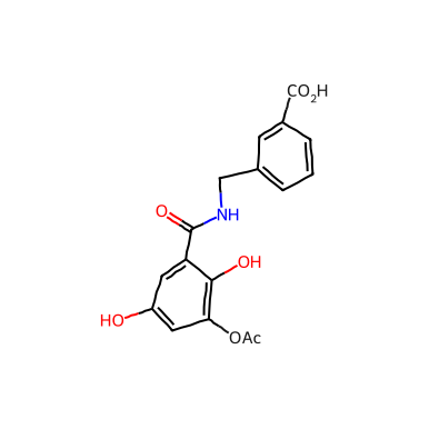 CC(=O)Oc1cc(O)cc(C(=O)NCc2cccc(C(=O)O)c2)c1O